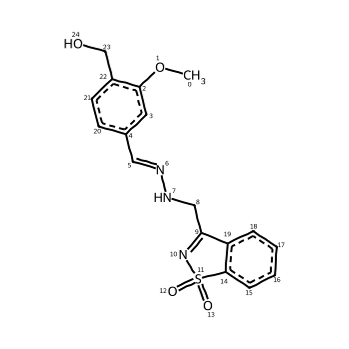 COc1cc(/C=N/NCC2=NS(=O)(=O)c3ccccc32)ccc1CO